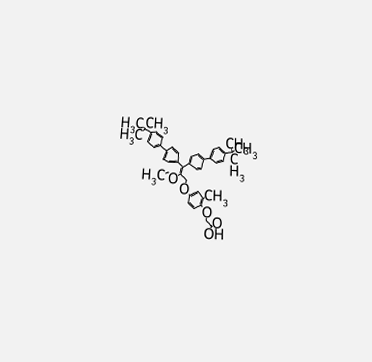 CCOC(COc1ccc(OCC(=O)O)c(C)c1)=C(c1ccc(-c2ccc(C(C)(C)C)cc2)cc1)c1ccc(-c2ccc(C(C)(C)C)cc2)cc1